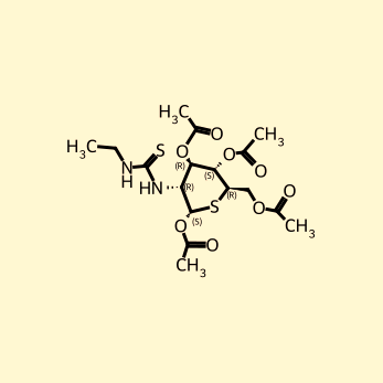 CCNC(=S)N[C@@H]1[C@@H](OC(C)=O)[C@H](OC(C)=O)[C@@H](COC(C)=O)S[C@@H]1OC(C)=O